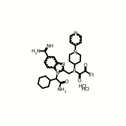 CCC(=O)C(=O)N(Cc1nc2cc(C(=N)N)ccc2n1C(C(N)=O)C1CCCCC1)C1CCN(c2ccncc2)CC1.Cl.Cl